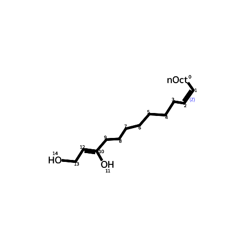 CCCCCCCC/C=C\CCCCCCCC(O)=CCO